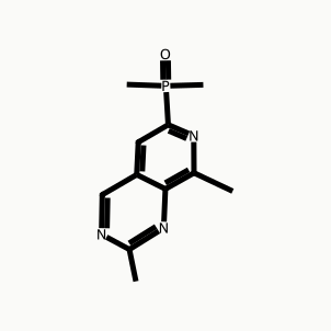 Cc1ncc2cc(P(C)(C)=O)nc(C)c2n1